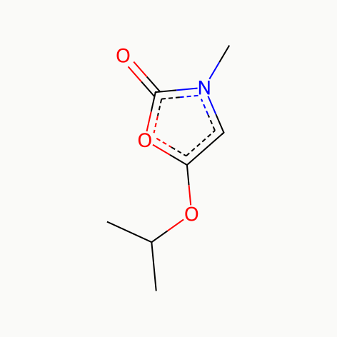 CC(C)Oc1cn(C)c(=O)o1